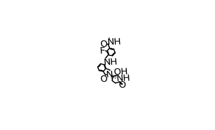 CNC(=O)c1cccc(CNc2cccc3c2CN([C@@H]2CCC(=O)NC2O)C3=O)c1F